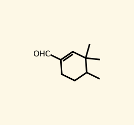 CC1CCC(C=O)=CC1(C)C